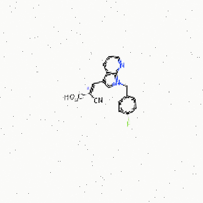 N#C/C(=C\c1cn(Cc2ccc(F)cc2)c2ncccc12)C(=O)O